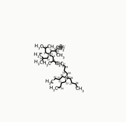 CC(C)C[N+](CC(C)C)(CC(C)C)CC(C)C.CCCC[N+](CCCC)(CCCC)CCCC.[Br-].[Cl-]